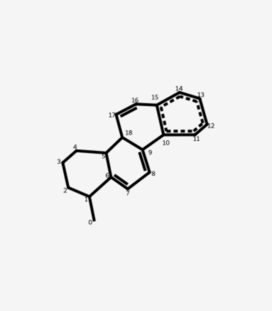 CC1CCCC2C1=CC=C1c3ccccc3C=CC12